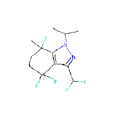 CC(C)n1nc(C(F)F)c2c1C(C)(F)CCC2(F)F